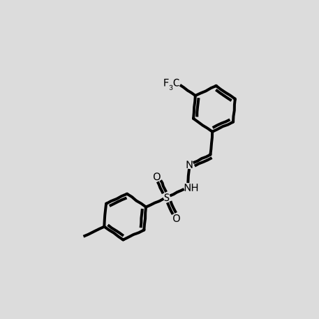 Cc1ccc(S(=O)(=O)N/N=C/c2cccc(C(F)(F)F)c2)cc1